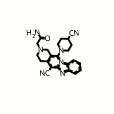 N#Cc1c2c(c(N3CCC(C#N)CC3)n3c1nc1ccccc13)CN(CC(N)=O)CC2